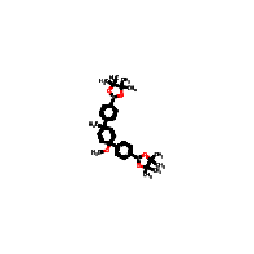 COC1(c2ccc(B3OC(C)(C)C(C)(C)O3)cc2)C=CC(C)(c2ccc(B3OC(C)(C)C(C)(C)O3)cc2)C=C1